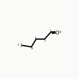 O=CCCCI